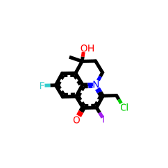 CC1(O)CCn2c(CCl)c(I)c(=O)c3cc(F)cc1c32